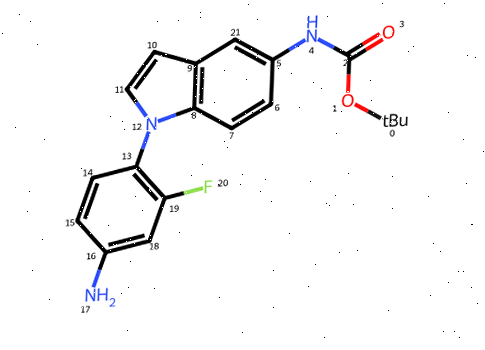 CC(C)(C)OC(=O)Nc1ccc2c(ccn2-c2ccc(N)cc2F)c1